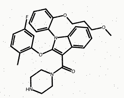 COCCCOc1ccccc1-n1c(Oc2cc(F)ccc2C)c(C(=O)N2CCNCC2)c2ccccc21